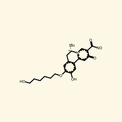 CC(C)(C)[C@H]1Cc2cc(OCCCCCCO)c(O)cc2-c2cc(=O)c(C(=O)N=O)cn21